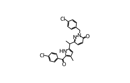 Cc1cc(C(C)c2ccc(=O)n(Cc3ccc(Cl)cc3)n2)[nH]c1C(=O)c1ccc(Cl)cc1